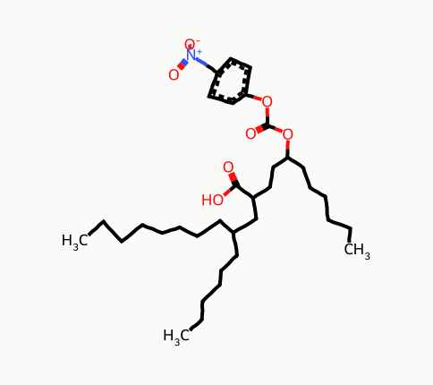 CCCCCCCCC(CCCCCC)CC(CCC(CCCCCC)OC(=O)Oc1ccc([N+](=O)[O-])cc1)C(=O)O